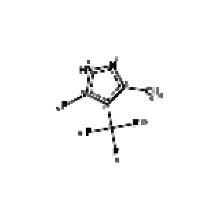 Cc1n[nH]c(F)c1C(F)(F)F